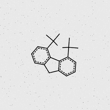 CC(C)(C)c1cccc2c1-c1c(cccc1C(C)(C)C)[CH]2